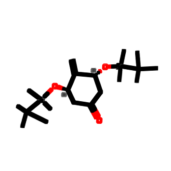 C=C1[C@H](O[Si](C)(C)C(C)(C)C)CC(=O)C[C@H]1O[Si](C)(C)C(C)(C)C